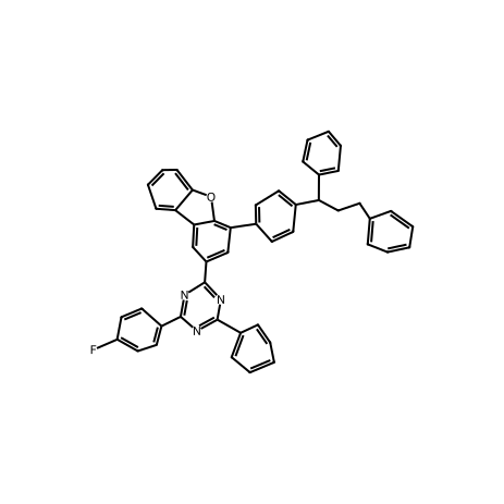 Fc1ccc(-c2nc(-c3ccccc3)nc(-c3cc(-c4ccc(C(CCc5ccccc5)c5ccccc5)cc4)c4oc5ccccc5c4c3)n2)cc1